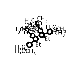 CCc1ccc2c(c1-c1ccc([Si](C)(C)C)cc1)C=C(c1cc(C)c(C)o1)[CH]2[Zr]([Cl])([Cl])([CH]1C(c2cc(C)c(C)o2)=Cc2c1ccc(CC)c2-c1ccc([Si](C)(C)C)cc1)=[Si](C)C